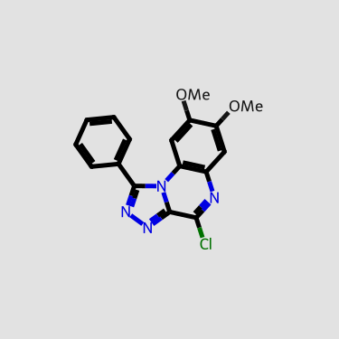 COc1cc2nc(Cl)c3nnc(-c4ccccc4)n3c2cc1OC